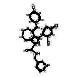 O=C(NCc1cccnc1)c1nn(-c2ccc(Cl)cc2Cl)c2c1CCCC/C2=C\c1ccc(Cl)cc1